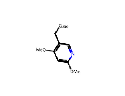 [CH2]OCc1cnc(OC)cc1OC